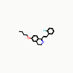 CCCCOc1ccc2c(c1)CCN=C2C=Cc1ccccc1F